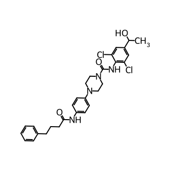 CC(O)c1cc(Cl)c(NC(=O)N2CCN(c3ccc(NC(=O)CCCc4ccccc4)cc3)CC2)c(Cl)c1